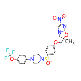 C[C@]1(COc2ccc([S+]([O-])N3CCN(c4ccc(OC(F)(F)F)cc4)CC3)cc2)Cn2cc([N+](=O)[O-])nc2O1